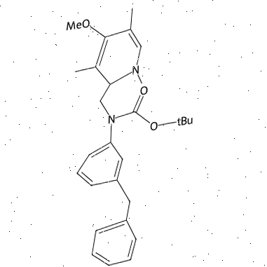 COC1=C(C)C(CN(C(=O)OC(C)(C)C)c2cccc(Cc3ccccc3)c2)N(C)C=C1C